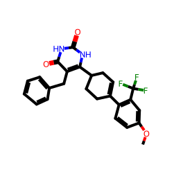 COc1ccc(C2=CCC(c3[nH]c(=O)[nH]c(=O)c3Cc3ccccc3)CC2)c(C(F)(F)F)c1